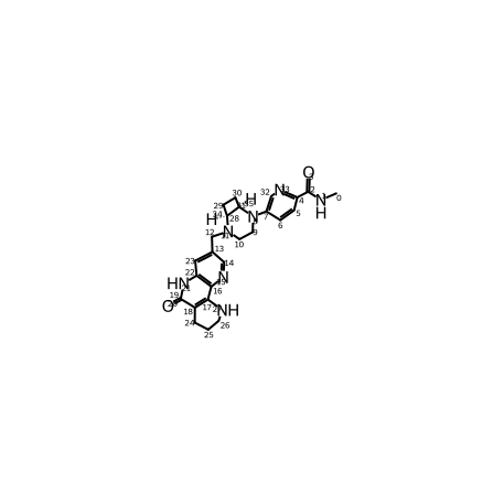 CNC(=O)c1ccc(N2CCN(Cc3cnc4c5c(c(=O)[nH]c4c3)CCCN5)[C@H]3CC[C@H]32)cn1